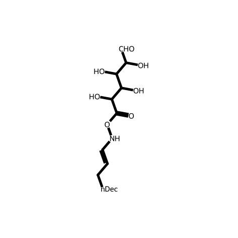 CCCCCCCCCCCC=CNOC(=O)C(O)C(O)C(O)C(O)C=O